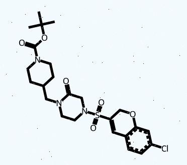 CC(C)(C)OC(=O)N1CCC(CN2CCN(S(=O)(=O)C3=Cc4ccc(Cl)cc4OC3)CC2=O)CC1